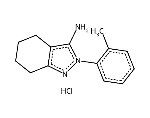 Cc1ccccc1-n1nc2c(c1N)CCCC2.Cl